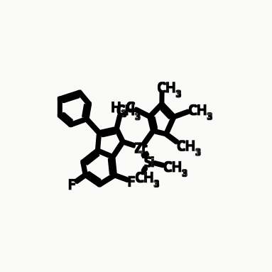 CC1=C(C)C(C)[C]([Zr]([CH]2C(C)=C(c3ccccc3)c3cc(F)cc(F)c32)=[Si](C)C)=C1C